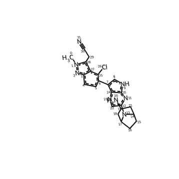 Cn1nc2ccc(-c3c[nH]c4nc(N5C6CCC5CC(N)C6)cnc34)c(Cl)c2c1CC#N